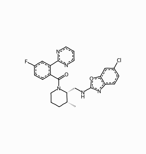 C[C@@H]1CCCN(C(=O)c2ccc(F)cc2-c2ncccn2)[C@@H]1CNc1nc2ccc(Cl)cc2o1